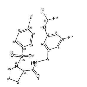 O=C(NCc1cc(F)cc(OC(F)F)c1)C1CCCN1S(=O)(=O)c1ccc(F)cc1